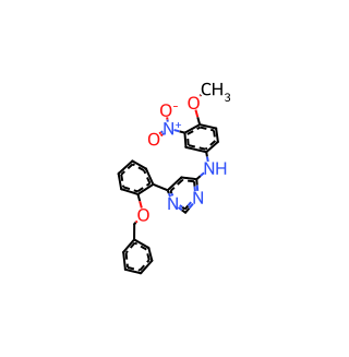 COc1ccc(Nc2cc(-c3ccccc3OCc3ccccc3)ncn2)cc1[N+](=O)[O-]